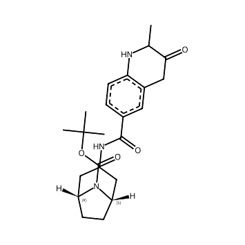 CC1Nc2ccc(C(=O)NC3C[C@H]4CC[C@@H](C3)N4C(=O)OC(C)(C)C)cc2CC1=O